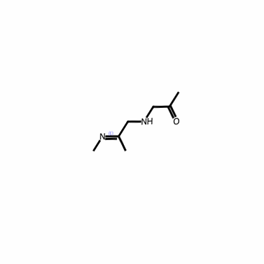 C/N=C(\C)CNCC(C)=O